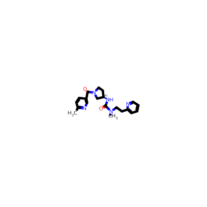 Cc1ccc(C(=O)N2CC[C@@H](NC(=O)N(C)CCc3ccccn3)C2)cn1